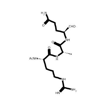 CC(=O)N[C@@H](CCCNC(=N)N)C(=O)N[C@@H](C)C(=O)N[C@H]([C]=O)CCC(N)=O